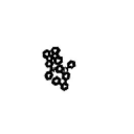 c1ccc(-c2ccccc2-c2ccc3c(c2)c2cc(N(c4ccccc4)c4ccc5c(c4)C4(c6ccccc6-c6ccccc64)c4ccccc4-5)ccc2n3-c2ccccc2)cc1